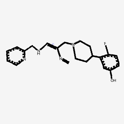 C=N/C(=C\NCc1ccccn1)CN1CCC(c2cc(O)ccc2F)CC1